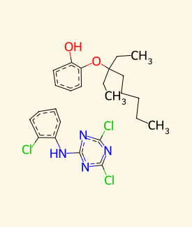 CCCCCC(CC)(CC)Oc1ccccc1O.Clc1nc(Cl)nc(Nc2ccccc2Cl)n1